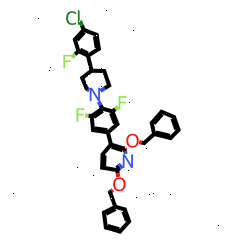 Fc1cc(Cl)ccc1C1CCN(c2c(F)cc(-c3ccc(OCc4ccccc4)nc3OCc3ccccc3)cc2F)CC1